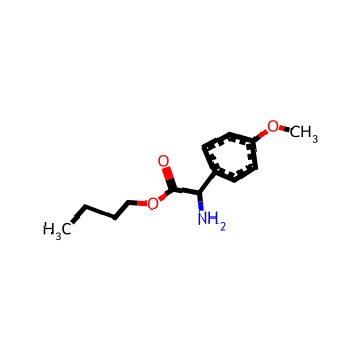 CCCCOC(=O)C(N)c1ccc(OC)cc1